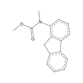 [CH2]N(C(=O)OC)c1cccc2c1Cc1ccccc1-2